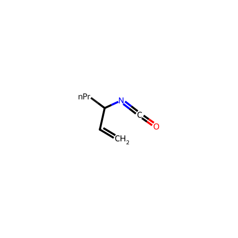 C=CC(CCC)N=C=O